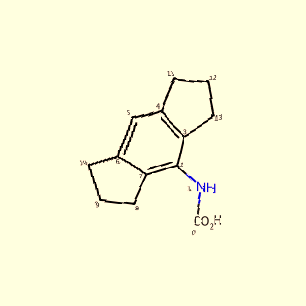 O=C(O)Nc1c2c(cc3c1CCC3)CCC2